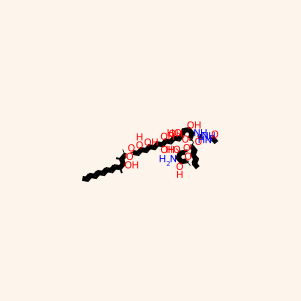 C/C=C/C=C/C=C/C=C/[C@H](C)[C@@H](O)[C@@H](C)[C@H](C)OC(=O)C[C@H](O)C[C@H](O)CC[C@@H](O)[C@H](O)C[C@H](O)C[C@]1(O)C[C@H](O)[C@@H](NC(=O)NNC(C)=O)[C@H](C[C@H](/C=C/C=C/C)O[C@@H]2O[C@H](C)[C@@H](O)[C@H](N)[C@@H]2O)O1